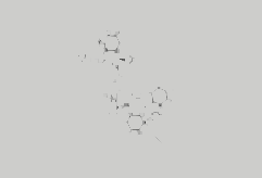 C=CCOC(=O)C1(c2ccccc2)CC[C@@H](C(=O)N(C)CCCNC(=O)c2cccnc2OC)c2ccccc21